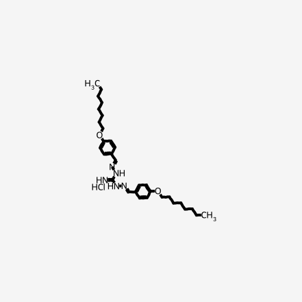 CCCCCCCCOc1ccc(C=NNC(=N)NN=Cc2ccc(OCCCCCCCC)cc2)cc1.Cl